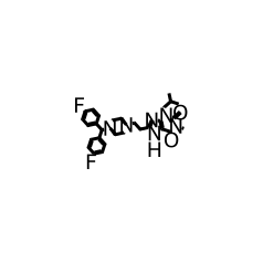 CC(C)Cn1c(=O)n(C)c(=O)c2[nH]c(CCN3CCN(C(c4ccc(F)cc4)c4ccc(F)cc4)CC3)nc21